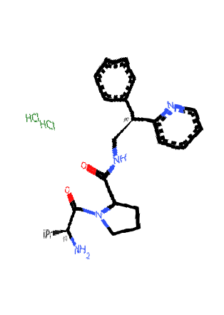 CC(C)[C@H](N)C(=O)N1CCCC1C(=O)NC[C@@H](c1ccccc1)c1ccccn1.Cl.Cl